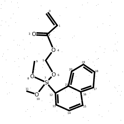 C=CC(=O)OCO[Si](OC)(OC)c1cccc2ccccc12